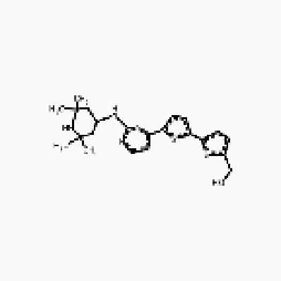 CC1(C)CC(Nc2nccc(-c3ccc(-c4ccc(CO)s4)s3)n2)CC(C)(C)N1